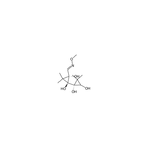 CON=C[C@]1(O)C(C)(C)[C@@]1(O)[C@]1(O)C(O)C1(C)C